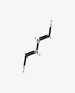 I/C=N/N=C/I